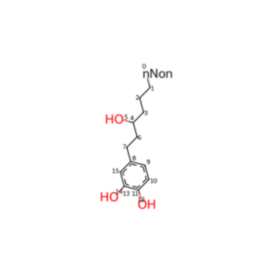 CCCCCCCCCCCCC(O)CCc1ccc(O)c(O)c1